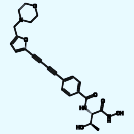 C[C@@H](O)[C@H](NC(=O)c1ccc(C#CC#Cc2ccc(CN3CCOCC3)o2)cc1)C(=O)NO